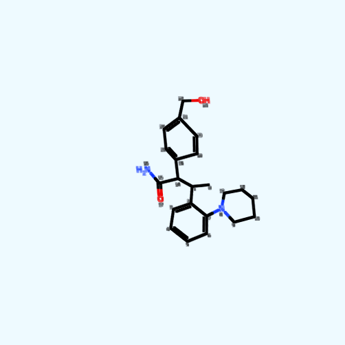 CC(c1ccccc1N1CCCCC1)C(C(N)=O)c1ccc(CO)cc1